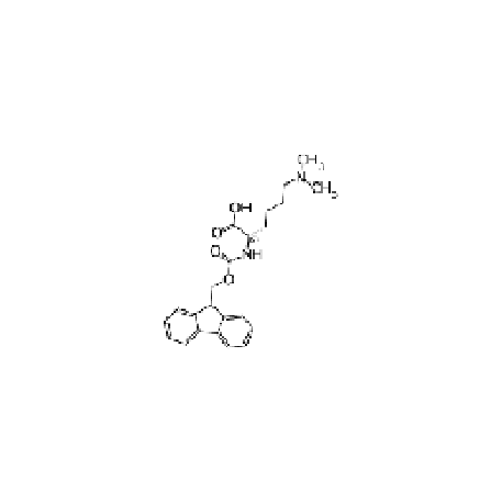 CN(C)CCCC[C@H](NC(=O)OCC1c2ccccc2-c2ccccc21)C(=O)O